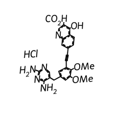 COc1cc(Cc2cnc(N)nc2N)cc(C#Cc2ccc3c(O)c(C(=O)O)cnc3c2)c1OC.Cl